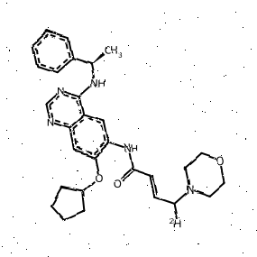 [2H]C(C=CC(=O)Nc1cc2c(N[C@H](C)c3ccccc3)ncnc2cc1OC1CCCC1)N1CCOCC1